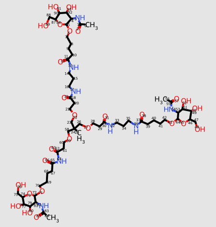 CC(=O)NC1C(OCCCCC(=O)NCCCNC(=O)CCOCC(C)(COCCC(=O)NCCCNC(=O)CCCCOC2OC(CO)C(O)C(O)C2NC(C)=O)COCCC(=O)NC(=O)CCCCOC2OC(CO)C(O)C(O)C2NC(C)=O)OC(CO)C(O)C1O